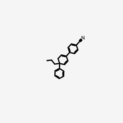 CCCC1(c2ccccc2)C=CC(c2ccc(C#N)cc2)=CC1